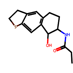 CCC(=O)NC1CCc2cc3c(cc2C1O)SCC3